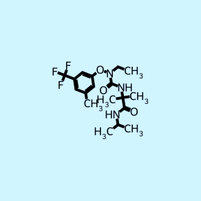 CCN(Oc1cc(C)cc(C(F)(F)F)c1)C(=O)NC(C)(C)C(=O)NC(C)C